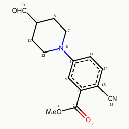 COC(=O)c1cc(N2CCC(C=O)CC2)ccc1C#N